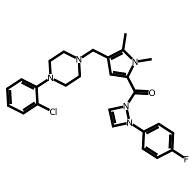 Cc1c(CN2CCN(c3ccccc3Cl)CC2)cc(C(=O)n2ccn2-c2ccc(F)cc2)n1C